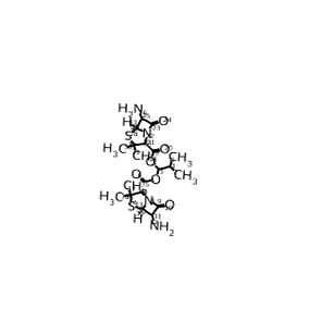 CC(C)C(OC(=O)[C@@H]1N2C(=O)C(N)[C@H]2SC1(C)C)OC(=O)[C@@H]1N2C(=O)C(N)[C@H]2SC1(C)C